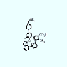 Cc1cc(C2CCN(CC(F)(F)F)CC2)ccc1O[C@H]1CCc2cccc(-c3cccc(-n4ncc(C(=O)O)c4C(F)(F)F)n3)c21